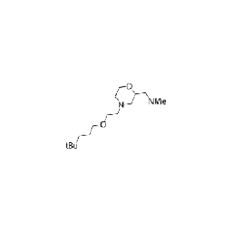 CNCC1CN(CCOCCCC(C)(C)C)CCO1